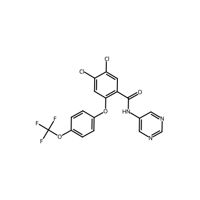 O=C(Nc1cncnc1)c1cc(Cl)c(Cl)cc1Oc1ccc(OC(F)(F)F)cc1